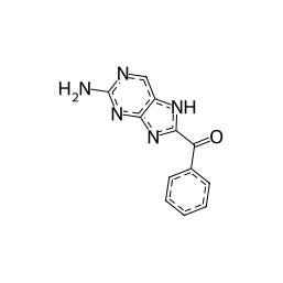 Nc1ncc2[nH]c(C(=O)c3ccccc3)nc2n1